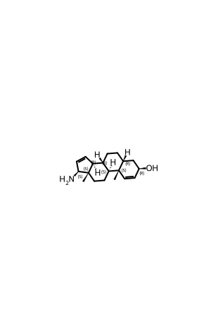 C[C@]12C=C[C@H](O)C[C@H]1CC[C@@H]1[C@@H]2CC[C@]2(C)[C@@H](N)C=C[C@@H]12